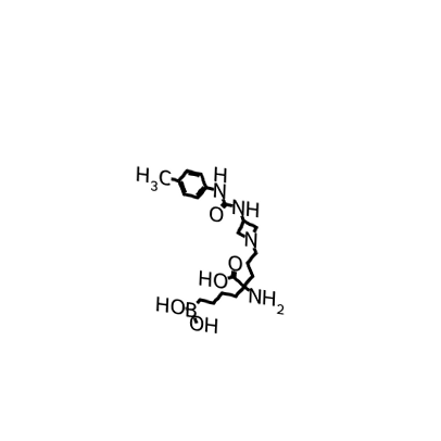 Cc1ccc(NC(=O)NC2CN(CCCC(N)(CCCCB(O)O)C(=O)O)C2)cc1